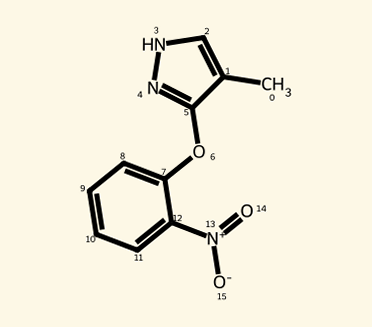 Cc1c[nH]nc1Oc1ccccc1[N+](=O)[O-]